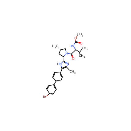 COC(=O)N[C@H](C(=O)N1C[C@@H](C)C[C@H]1c1nc(C)c(-c2ccc(-c3ccc(Br)cc3)cc2)[nH]1)C(C)C